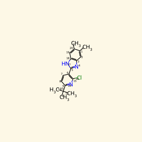 Cc1cc2nc(-c3ccc(C(C)(C)C)nc3Cl)[nH]c2cc1C